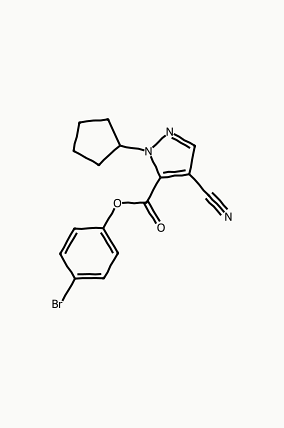 N#Cc1cnn(C2CCCC2)c1C(=O)Oc1ccc(Br)cc1